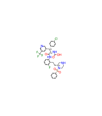 O=C(O)N[C@H](C(=O)Nc1cccc(F)c1CC[C@H]1CNCCN1S(=O)(=O)c1ccccc1)[C@@H](c1ccc(Cl)cc1)c1cncc(C(F)(F)F)c1